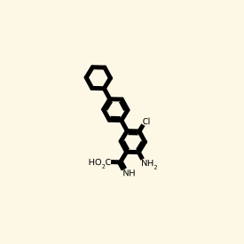 N=C(C(=O)O)c1cc(-c2ccc(C3CCCCC3)cc2)c(Cl)cc1N